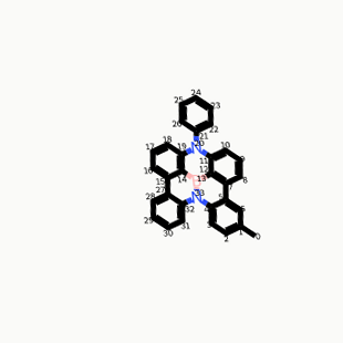 Cc1ccc2c(c1)-c1cccc3c1B1c4c(cccc4N3c3ccccc3)-c3ccccc3N12